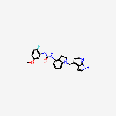 COc1ccc(F)c(NC(=O)Nc2cccc3c2CCN3Cc2ccnc3[nH]ccc23)c1